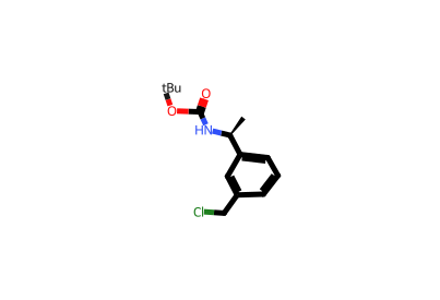 C[C@H](NC(=O)OC(C)(C)C)c1cccc(CCl)c1